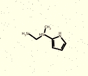 C[SiH](C[SiH3])c1ccc[nH]1